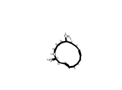 CC1CCC=CCCC/C=C/CC(=O)OCCC1